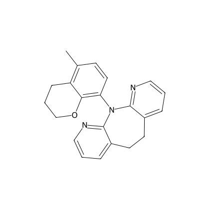 Cc1ccc(N2c3ncccc3CCc3cccnc32)c2c1CCCO2